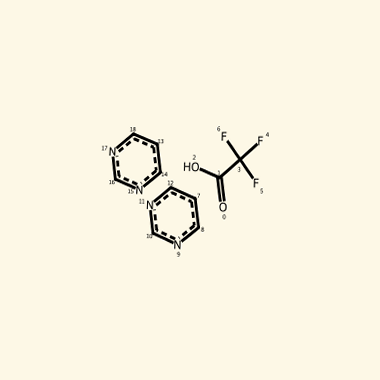 O=C(O)C(F)(F)F.c1cncnc1.c1cncnc1